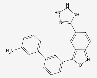 Nc1cccc(-c2cccc(-c3onc4ccc(C5=NNNN5)cc34)c2)c1